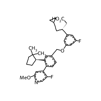 COc1cc(-c2ccc(COc3cc(F)cc([C@@H](CC(=O)O)CC4CC4)c3)cc2[C@H]2CCCC2(C)C)c(F)cn1